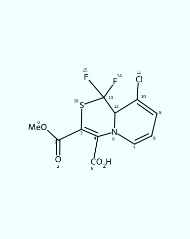 COC(=O)C1=C(C(=O)O)N2C=CC=C(Cl)C2C(F)(F)S1